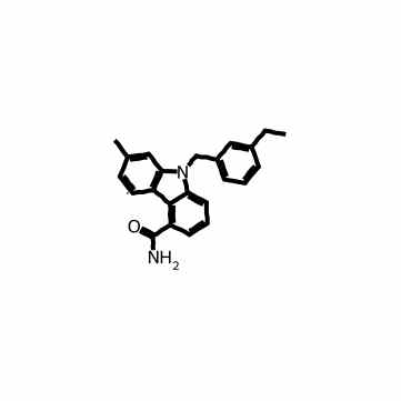 CCc1cccc(Cn2c3cc(C)c[c]c3c3c(C(N)=O)cccc32)c1